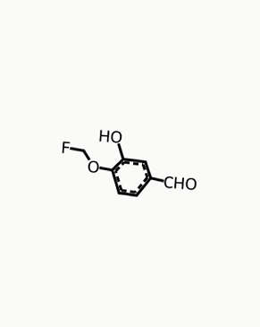 O=Cc1ccc(OCF)c(O)c1